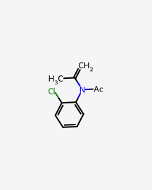 C=C(C)N(C(C)=O)c1ccccc1Cl